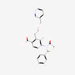 Cc1c(N2C(=O)CSC2c2ccc(F)cc2)ccc(C(=O)O)c1CCOCc1cccnc1